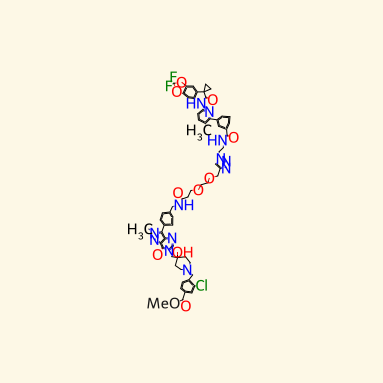 COC(=O)c1ccc(CN2CCC(O)(Cn3cnc4c(-c5ccc(CNC(=O)CCOCCOCc6cn(CCNC(=O)c7cccc(-c8nc(NC(=O)C9(c%10ccc%11c(c%10)OC(F)(F)O%11)CC9)ccc8C)c7)nn6)cc5)n(C)nc4c3=O)CC2)c(Cl)c1